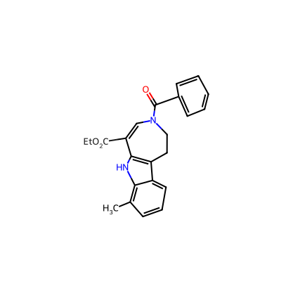 CCOC(=O)C1=CN(C(=O)c2ccccc2)CCc2c1[nH]c1c(C)cccc21